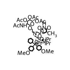 COc1ccc(C(OC[C@]2(CO[Si](C(C)C)(C(C)C)C(C)C)CN(CCO[C@@H]3O[C@H](COC(C)=O)[C@H](OC(C)=O)[C@H](OC(C)=O)[C@H]3NC(C)=O)C[C@H](n3cc(C)c(=O)[nH]c3=O)O2)(c2ccccc2)c2ccc(OC)cc2)cc1